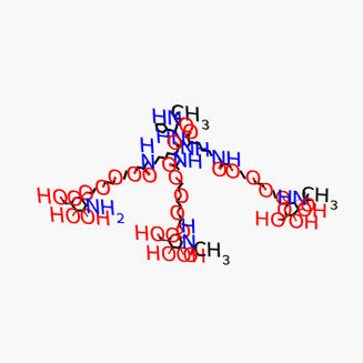 CNC(=O)C(NC(=O)C(CCCCNC(=O)COCCOCCOCCO[C@@H]1O[C@H](CO)[C@H](O)[C@H](O)[C@H]1NC(C)=O)NC(=O)C(CCCCNC(=O)COCCOCCOCCO[C@@H]1O[C@H](CO)[C@H](O)[C@H](O)[C@H]1N)NC(=O)COCCOCCOCCO[C@@H]1O[C@H](CO)[C@H](O)[C@H](O)[C@H]1NC(C)=O)C1CCCC1